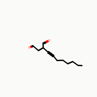 CCCCCCC#CC([C]=O)C[C]=O